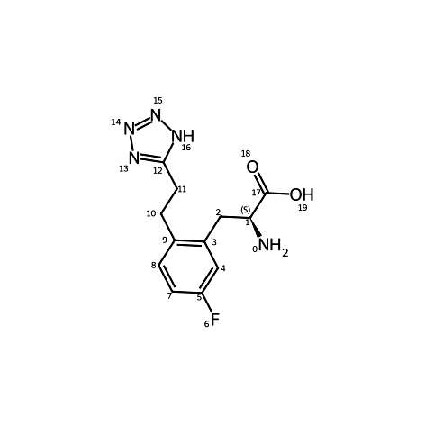 N[C@@H](Cc1cc(F)ccc1CCc1nnn[nH]1)C(=O)O